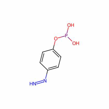 N=Nc1ccc(OP(O)O)cc1